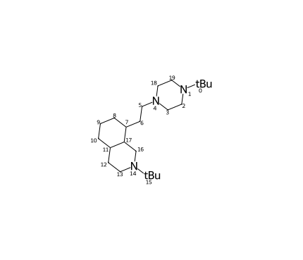 CC(C)(C)N1CCN(CCC2CCCC3CCN(C(C)(C)C)CC23)CC1